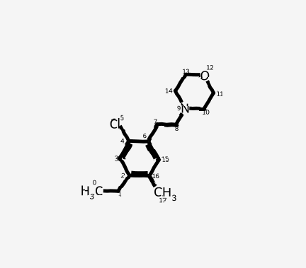 CCc1cc(Cl)c(CCN2CCOCC2)cc1C